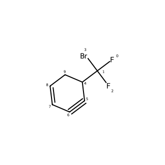 FC(F)(Br)C1C#CC=CC1